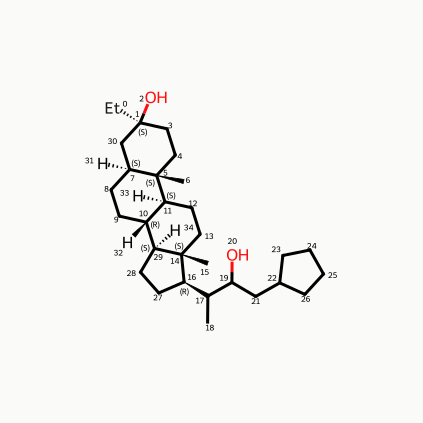 CC[C@]1(O)CC[C@@]2(C)[C@@H](CC[C@@H]3[C@@H]2CC[C@]2(C)[C@@H](C(C)C(O)CC4CCCC4)CC[C@@H]32)C1